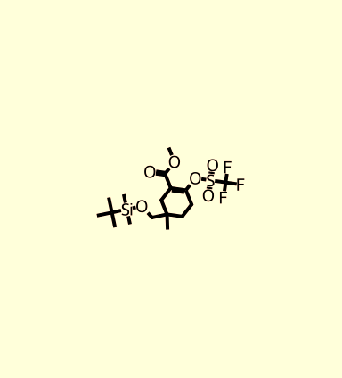 COC(=O)C1=C(OS(=O)(=O)C(F)(F)F)CCC(C)(CO[Si](C)(C)C(C)(C)C)C1